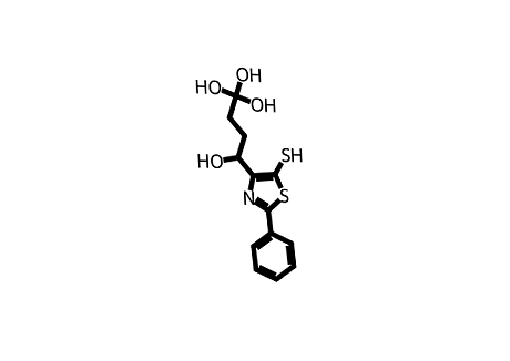 OC(CCC(O)(O)O)c1nc(-c2ccccc2)sc1S